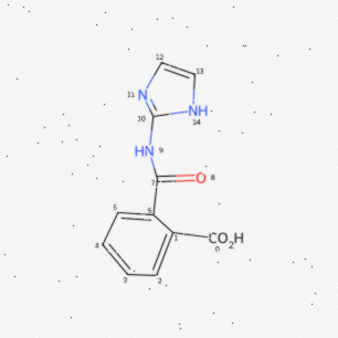 O=C(O)c1ccccc1C(=O)Nc1ncc[nH]1